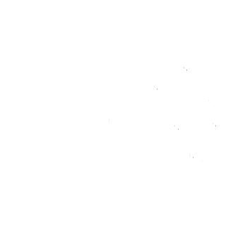 C=CC(O[P@]1(=O)OCC[C@H](c2cc(Cl)ccc2F)O1)n1cnc2c(=O)[nH]c(N)nc21